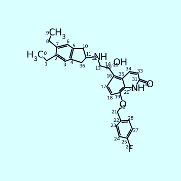 CCc1cc2c(cc1CC)CC(NC[C@H](O)c1ccc(OCc3ccc(F)cc3)c3[nH]c(=O)ccc13)C2